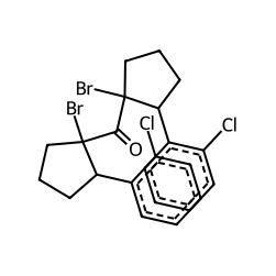 O=C(C1(Br)CCCC1c1ccccc1Cl)C1(Br)CCCC1c1ccccc1Cl